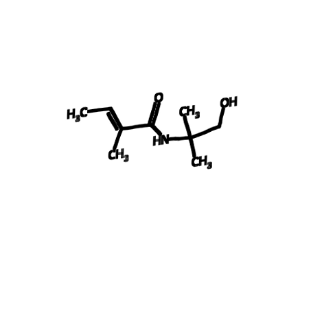 C/C=C(\C)C(=O)NC(C)(C)CO